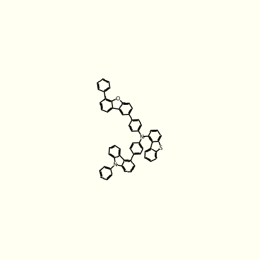 c1ccc(-c2cccc3c2oc2ccc(-c4ccc(N(c5ccc(-c6cccc7c6c6ccccc6n7-c6ccccc6)cc5)c5cccc6sc7ccccc7c56)cc4)cc23)cc1